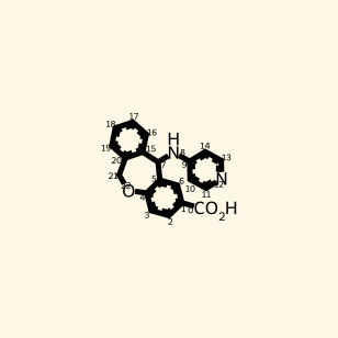 O=C(O)c1ccc2c(c1)C(Nc1ccncc1)c1ccccc1CO2